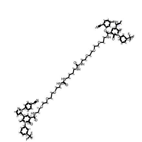 C/C=C(\Nc1ccc(C#N)cc1)c1cc(C(=O)NCCOCCOCCOCCNC(=O)NCCCCNC(=O)NCCOCCOCCOCCNC(=O)c2cc(-c3ccnn3-c3ccc(C#N)cc3)c(C)n(-c3cccc(C(F)(F)F)c3)c2=O)c(=O)n(-c2cccc(C(F)(F)F)c2)c1C